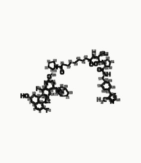 CCc1c(F)ccc2cc(O)cc(-c3ncc4c(N5CC6CCC(C5)N6)nc(OC[C@@H]5CCCN5C(=O)CCCCCCCC(=O)NC(C(=O)N5CCC[C@H]5C(=O)NCc5ccc(-c6scnc6C)cc5)C(C)(C)C)nc4c3F)c12